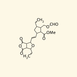 C=CC1CC(C=CC2OC(C=C)C3C(=O)OC(=O)C23)C(C(=O)OC)C1COC=O